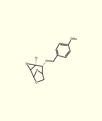 COc1ccc(CO[C@@H]2C3COC(O3)C3O[C@H]32)cc1